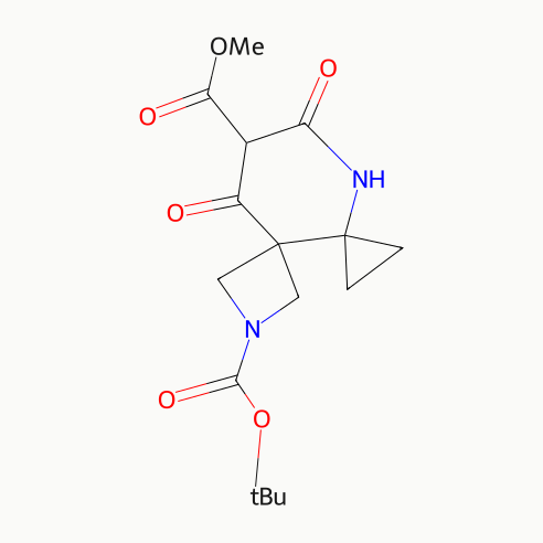 COC(=O)C1C(=O)NC2(CC2)C2(CN(C(=O)OC(C)(C)C)C2)C1=O